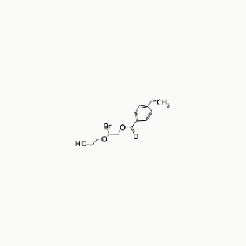 C=Cc1ccc(C(=O)OCC(Br)OCCO)cc1